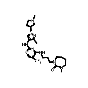 Cc1nn(C2CCN(C)C2)cc1Nc1ncc(C(F)(F)F)c(NCCCN2CCCCN(C)C2=O)n1